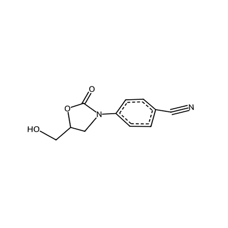 N#Cc1ccc(N2CC(CO)OC2=O)cc1